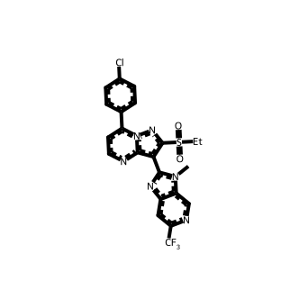 CCS(=O)(=O)c1nn2c(-c3ccc(Cl)cc3)ccnc2c1-c1nc2cc(C(F)(F)F)ncc2n1C